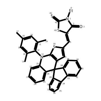 CCN1C(=O)/C(=C/c2cc3c(s2)N(c2c(C)cc(C)cc2C)c2ccccc2C32c3ccccc3-c3ccccc32)SC1=S